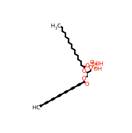 C#CC#CC#CC#CC#CC#CC#CC(=O)OC[C@H](COP(=O)(O)O)OC(=O)CCCCCCCCCCCCCCC